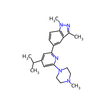 Cc1nn(C)c2ccc(-c3cc(C(C)C)cc(N4CCN(C)CC4)n3)cc12